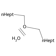 C=C.CCCCCCCCOCCCCCCCC.O